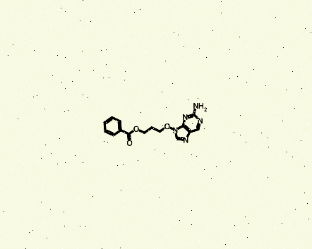 Nc1ncc2ncn(OCCCOC(=O)c3ccccc3)c2n1